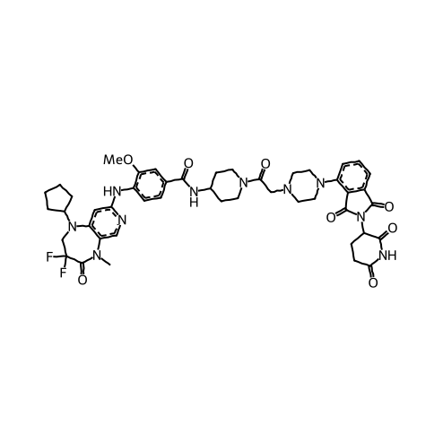 COc1cc(C(=O)NC2CCN(C(=O)CN3CCN(c4cccc5c4C(=O)N(C4CCC(=O)NC4=O)C5=O)CC3)CC2)ccc1Nc1cc2c(cn1)N(C)C(=O)C(F)(F)CN2C1CCCC1